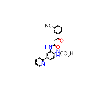 N#Cc1cccc(C(=O)CC(=O)Nc2cc(-c3ccccn3)ccc2NC(=O)O)c1